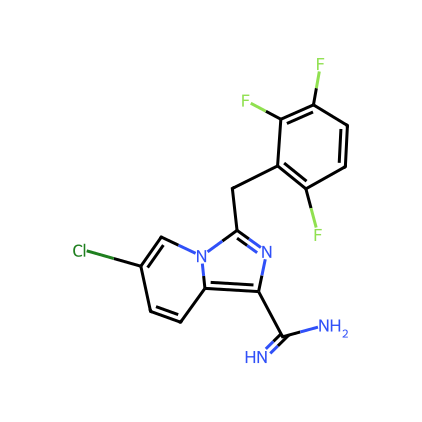 N=C(N)c1nc(Cc2c(F)ccc(F)c2F)n2cc(Cl)ccc12